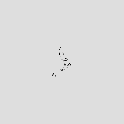 O.O.O.O.[Ag].[Ti].[Ti]